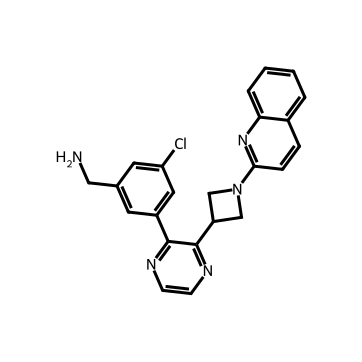 NCc1cc(Cl)cc(-c2nccnc2C2CN(c3ccc4ccccc4n3)C2)c1